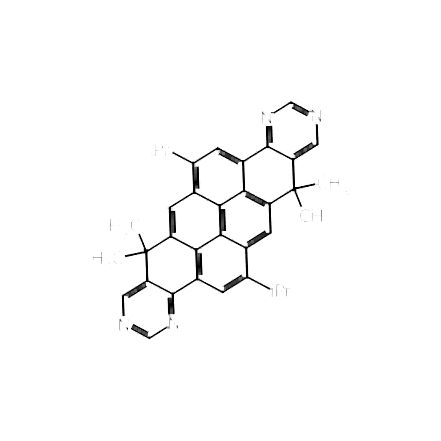 CC(C)c1cc2c3c(cc4c(C(C)C)cc5c6c(cc1c3c46)C(C)(C)c1cncnc1-5)C(C)(C)c1cncnc1-2